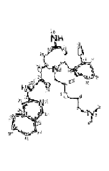 CN(C)CCOCCN(Cc1ccccc1Cl)C(CC([NH])=O)OC(=O)Nc1cc2ccccc2cn1